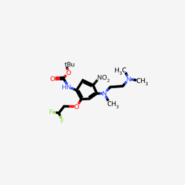 CN(C)CCN(C)c1cc(OCC(F)F)c(NC(=O)OC(C)(C)C)cc1[N+](=O)[O-]